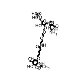 CC[C@H]1C[C@@H](OCCCCC(=O)NCCOCCOCO[C@@H]2[C@H](O)[C@@H](COP(=O)(O)O)O[C@H]2n2cnc3c(=O)[nH]c(N)nc32)[C@H](NC(C)=O)[C@@H](O)[C@H]1O